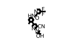 Cc1ccc(NC(=O)c2cc(C(C)(F)F)ccn2)cc1-c1cnc(N2CC(C)(O)C2)c(C#N)c1